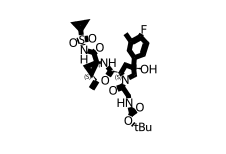 C=C[C@@H]1C[C@]1(NC(=O)[C@@H]1C[C@@](O)(C2C=CC(F)=C(C)C2)CN1C(=O)CNC(=O)OC(C)(C)C)C(=O)NS(=O)(=O)C1CC1